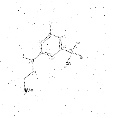 CNCCN(C)c1cc(C)cc(C(C)(C)C#N)c1